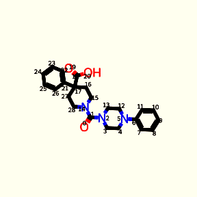 O=C(N1CCN(c2ccccc2)CC1)N1CCC(C(=O)O)(c2ccccc2)CC1